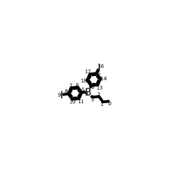 CCCCB(c1ccc(I)cc1)c1ccc(I)cc1